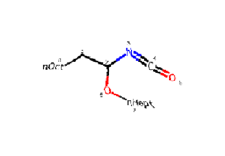 CCCCCCCCCC(N=C=O)OCCCCCCC